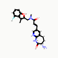 Cc1c(CN(C)C(=O)/C=C/c2cnc3c(c2)CC[C@H](N)C(=O)N3)oc2cccc(F)c12